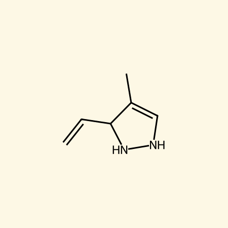 C=CC1NNC=C1C